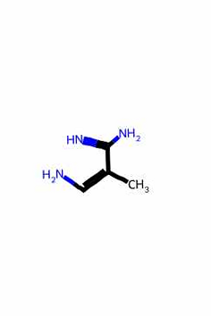 C/C(=C/N)C(=N)N